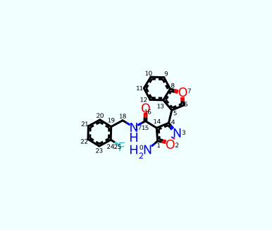 Nc1onc(-c2coc3ccccc23)c1C(=O)NCc1ccccc1F